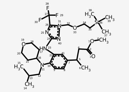 COC(=O)CC(C)c1ccc(N(CC(C)C)C2CCOCC2)c(Nc2nc(C(F)(F)F)n(COCC[Si](C)(C)C)n2)c1